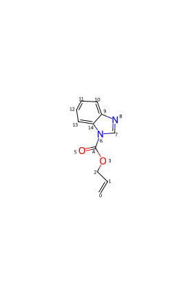 C=CCOC(=O)n1cnc2ccccc21